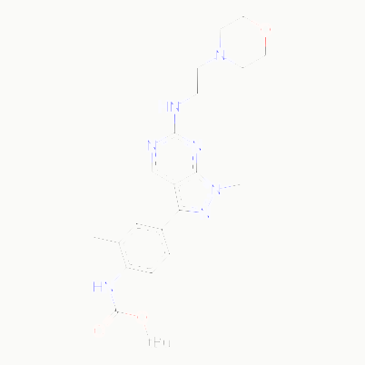 Cc1cc(-c2nn(C)c3nc(NCCN4CCOCC4)ncc23)ccc1NC(=O)OC(C)(C)C